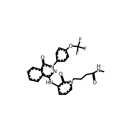 CNC(=O)CCCn1cccc(Nc2nn(-c3ccc(OC(F)(F)F)cc3)c(=O)c3ccccc23)c1=O